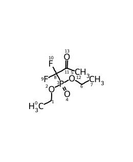 CCOP(=O)(OCC)C(F)(F)C(C)=O